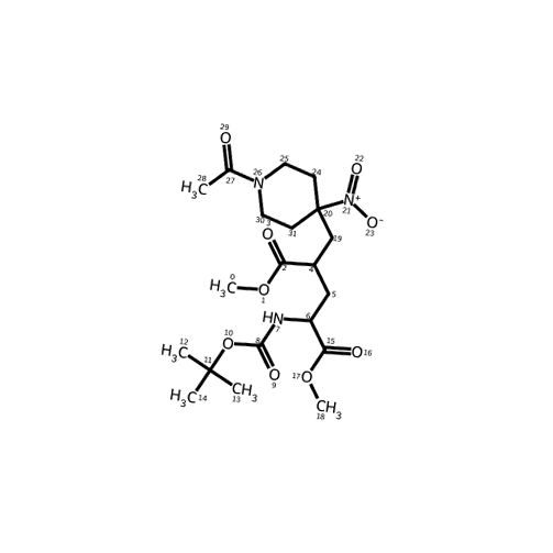 COC(=O)C(CC(NC(=O)OC(C)(C)C)C(=O)OC)CC1([N+](=O)[O-])CCN(C(C)=O)CC1